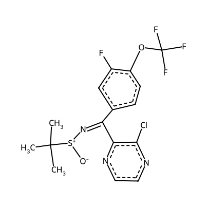 CC(C)(C)[S+]([O-])/N=C(/c1ccc(OC(F)(F)F)c(F)c1)c1nccnc1Cl